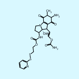 CO[C@]12C(NC(=O)OCCSSc3ccccn3)CCN1C1=C(C(=O)C(N)C(C)C1=O)C2/C=C/OC(N)=O